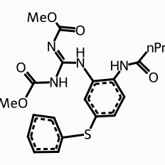 CCCC(=O)Nc1ccc(Sc2ccccc2)cc1NC(=NC(=O)OC)NC(=O)OC